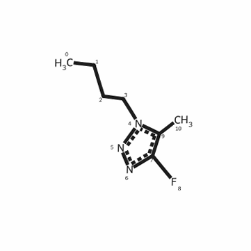 CCCCn1nnc(F)c1C